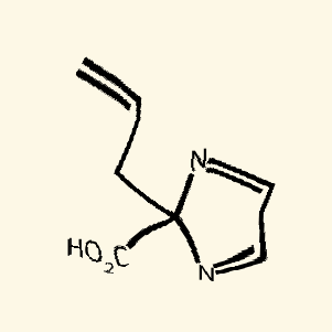 C=CCC1(C(=O)O)N=CC=N1